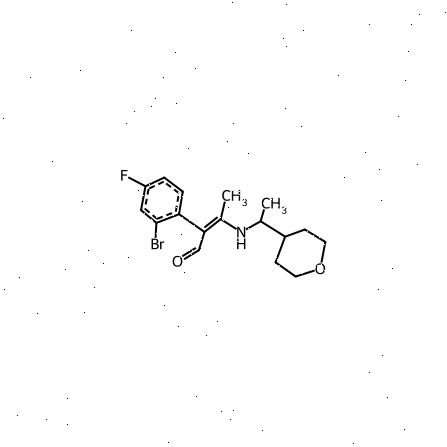 C/C(NC(C)C1CCOCC1)=C(/C=O)c1ccc(F)cc1Br